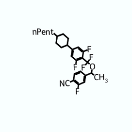 CCCCCC1CCC(c2cc(F)c(C(F)(F)OC(C)c3ccc(C#N)c(F)c3)c(F)c2)CC1